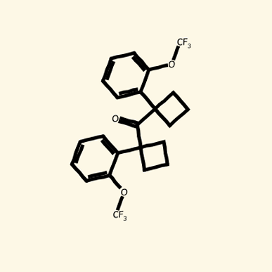 O=C(C1(c2ccccc2OC(F)(F)F)CCC1)C1(c2ccccc2OC(F)(F)F)CCC1